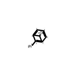 CC(C)c1c2cccc1C2O